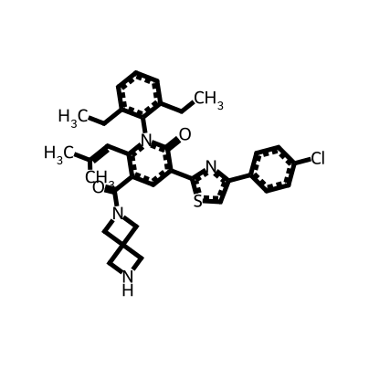 CCc1cccc(CC)c1-n1c(C=C(C)C)c(C(=O)N2CC3(CNC3)C2)cc(-c2nc(-c3ccc(Cl)cc3)cs2)c1=O